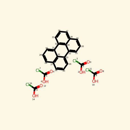 O=C(O)Cl.O=C(O)Cl.O=C(O)Cl.O=C(O)Cl.c1cc2cccc3c4cccc5cccc(c(c1)c23)c54